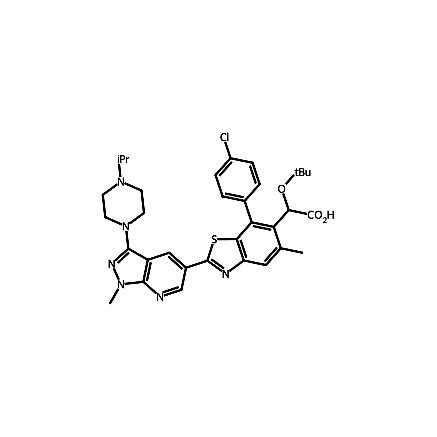 Cc1cc2nc(-c3cnc4c(c3)c(N3CCN(C(C)C)CC3)nn4C)sc2c(-c2ccc(Cl)cc2)c1C(OC(C)(C)C)C(=O)O